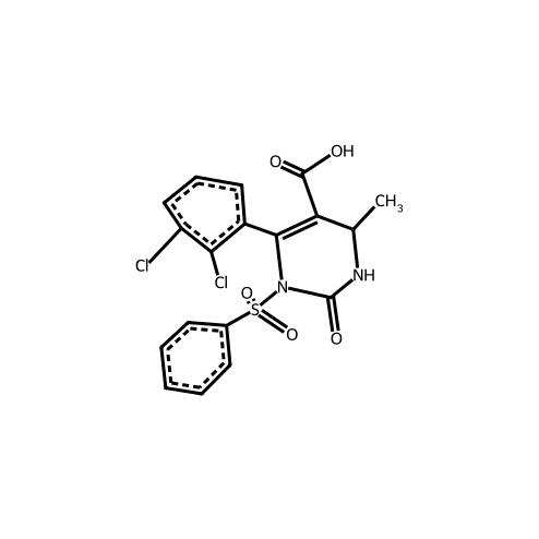 CC1NC(=O)N(S(=O)(=O)c2ccccc2)C(c2cccc(Cl)c2Cl)=C1C(=O)O